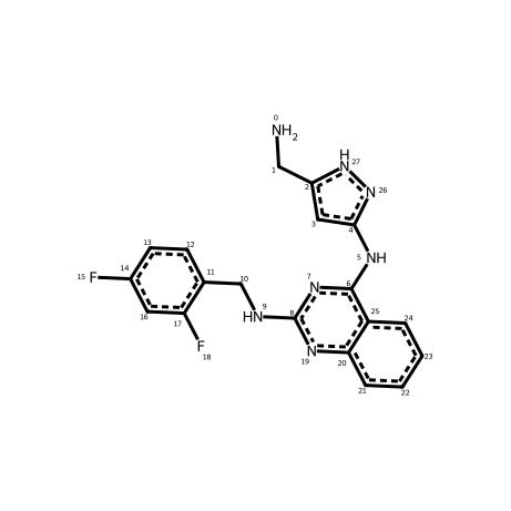 NCc1cc(Nc2nc(NCc3ccc(F)cc3F)nc3ccccc23)n[nH]1